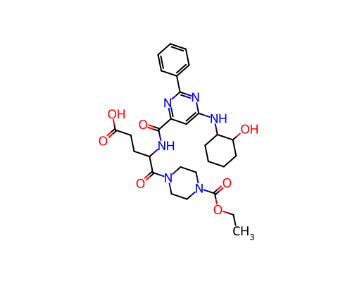 CCOC(=O)N1CCN(C(=O)C(CCC(=O)O)NC(=O)c2cc(NC3CCCCC3O)nc(-c3ccccc3)n2)CC1